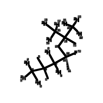 [2H]C([2H])([2H])C(C)(C)C([2H])([2H])[C@](C)(F)CC(C)(C([2H])([2H])[2H])C([2H])([2H])[2H]